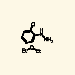 CCOCC.NNc1ccccc1Cl